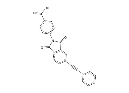 O=C(O)c1ccc(N2C(=O)c3ccc(C#Cc4ccccc4)cc3C2=O)cc1